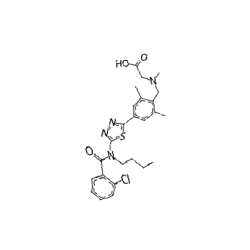 CCCCN(C(=O)c1ccccc1Cl)c1nnc(-c2cc(C)c(CN(C)CC(=O)O)c(C)c2)s1